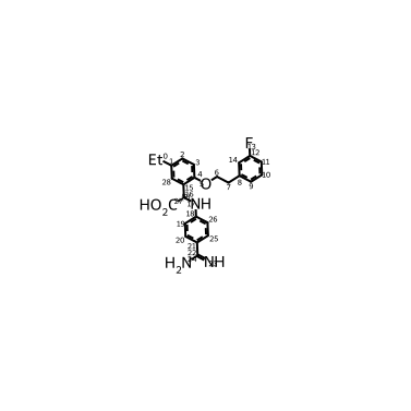 CCc1ccc(OCCc2cccc(F)c2)c([C@@H](Nc2ccc(C(=N)N)cc2)C(=O)O)c1